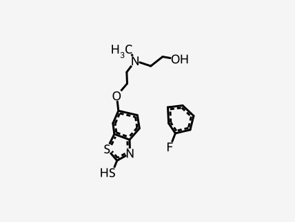 CN(CCO)CCOc1ccc2nc(S)sc2c1.Fc1ccccc1